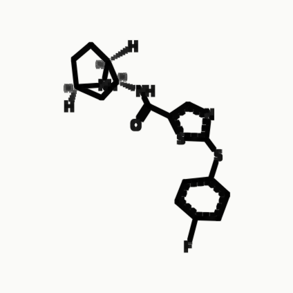 O=C(N[C@@H]1C[C@H]2CC[C@@H]1N2)c1cnc(Sc2ccc(F)cc2)s1